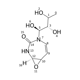 CC(O)[C@H](O)[C@H](O)N1C=CC2O[C@H]2NC1=O